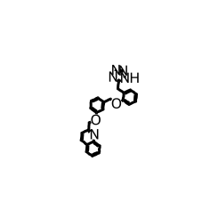 c1cc(COc2ccccc2Cc2nnn[nH]2)cc(OCc2ccc3ccccc3n2)c1